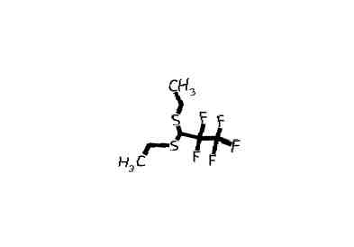 CCSC(SCC)C(F)(F)C(F)(F)F